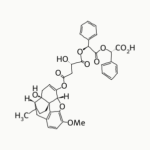 COc1ccc2c3c1O[C@H]1C(OC(=O)C[C@H](O)C(=O)O[C@H](C(=O)O[C@H](C(=O)O)c4ccccc4)c4ccccc4)=CC[C@@]4(O)[C@@H](C2)C(C)CC[C@]314